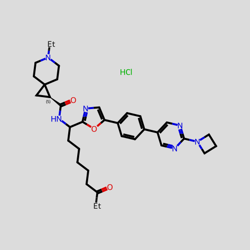 CCC(=O)CCCCCC(NC(=O)[C@H]1CC12CCN(CC)CC2)c1ncc(-c2ccc(-c3cnc(N4CCC4)nc3)cc2)o1.Cl